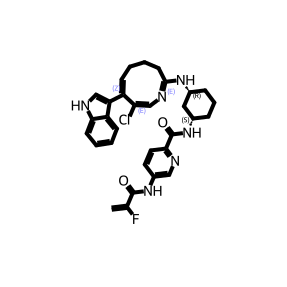 C=C(F)C(=O)Nc1ccc(C(=O)N[C@H]2CCC[C@@H](N/C3=N/C=C(Cl)\C(c4c[nH]c5ccccc45)=C/CCC3)C2)nc1